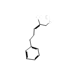 CCOC(=O)/C(=C/CCc1ccccc1)CBr